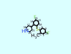 Cc1cc(F)ccc1Sc1ccc(F)cc1C1CCNCC1